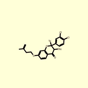 [2H]C1(c2ccc(Cl)c(Cl)c2)Oc2cc(OCCC(=C)C)ccc2C(=O)C1O